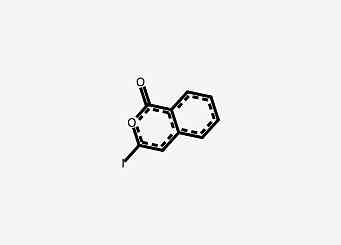 O=c1oc(I)cc2ccccc12